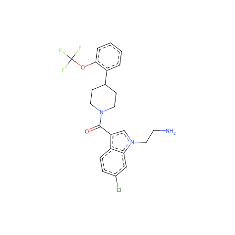 NCCn1cc(C(=O)N2CCC(c3ccccc3OC(F)(F)F)CC2)c2ccc(Cl)cc21